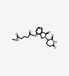 CNC(=O)CCCC(=O)Nc1cccc2c1CN(C1CCC(=O)NC1=O)C2=O